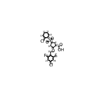 O=C(O)[C@H]1C[C@H](S(=O)(=O)c2ccccc2Cl)C[C@@H]1OCc1c(F)cc(Cl)cc1F